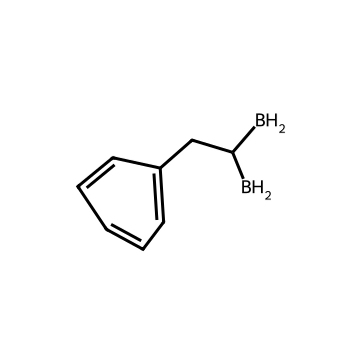 BC(B)Cc1ccccc1